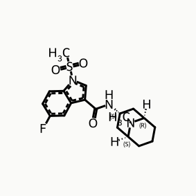 CN1[C@@H]2CCC[C@H]1C[C@H](NC(=O)c1cn(S(C)(=O)=O)c3ccc(F)cc13)C2